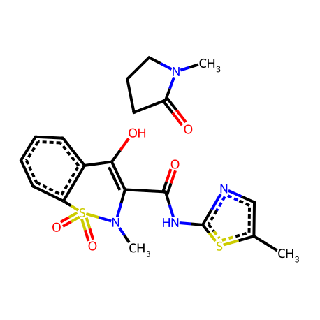 CN1CCCC1=O.Cc1cnc(NC(=O)C2=C(O)c3ccccc3S(=O)(=O)N2C)s1